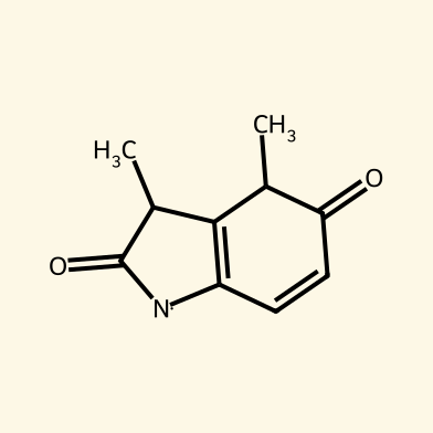 CC1C(=O)C=CC2=C1C(C)C(=O)[N]2